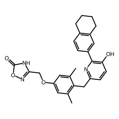 Cc1cc(OCc2noc(=O)[nH]2)cc(C)c1Cc1ccc(O)c(-c2ccc3c(c2)CCCC3)n1